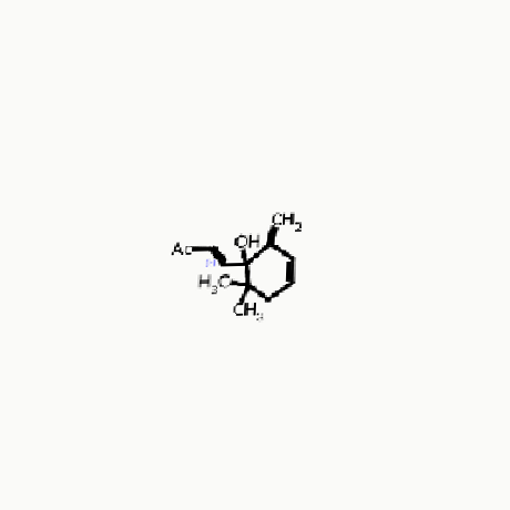 C=C1C=CCC(C)(C)C1(O)/C=C/C(C)=O